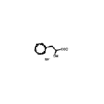 O=C([O-])[C@@H](O)Cc1ccccc1.[Na+]